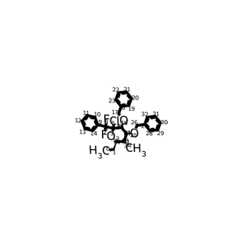 CC[C@H]1OC(Cl)(C(F)(F)c2ccccc2)[C@H](OCc2ccccc2)[C@@H](OCc2ccccc2)[C@@H]1C